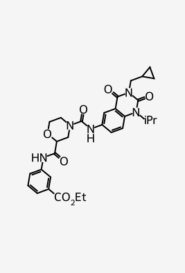 CCOC(=O)c1cccc(NC(=O)C2CN(C(=O)Nc3ccc4c(c3)c(=O)n(CC3CC3)c(=O)n4C(C)C)CCO2)c1